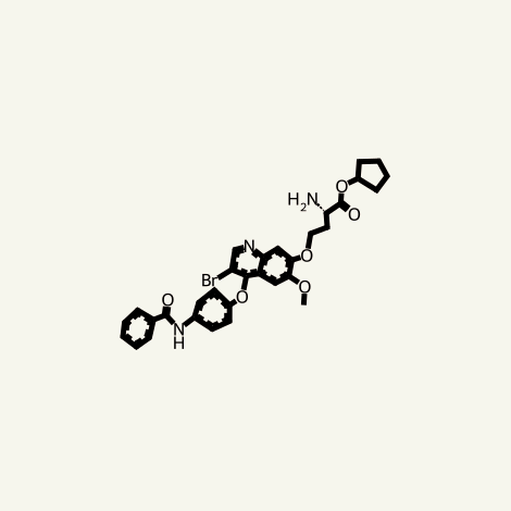 COc1cc2c(Oc3ccc(NC(=O)c4ccccc4)cc3)c(Br)cnc2cc1OCC[C@H](N)C(=O)OC1CCCC1